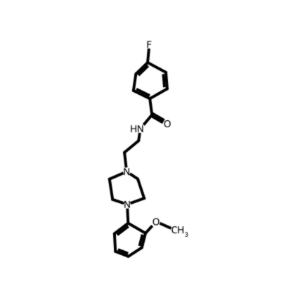 COc1ccccc1N1CCN(CCNC(=O)c2ccc(F)cc2)CC1